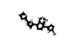 Brc1ccc(-c2ccc(-c3ccc(-c4cccs4)s3)c3nsnc23)s1